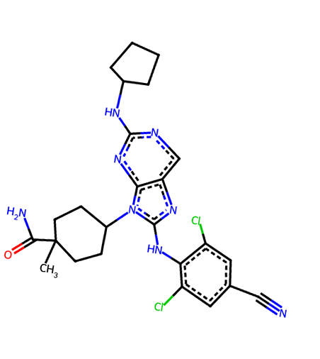 CC1(C(N)=O)CCC(n2c(Nc3c(Cl)cc(C#N)cc3Cl)nc3cnc(NC4CCCC4)nc32)CC1